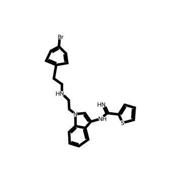 N=C(Nc1cn(CCNCCc2ccc(Br)cc2)c2ccccc12)c1cccs1